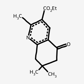 CCOC(=O)c1cc2c(nc1C)CC(C)(C)CC2=O